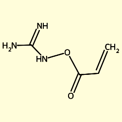 C=CC(=O)ONC(=N)N